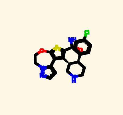 NC(=O)c1sc2c(c1[C@H]1CNCC[C@@H]1c1ccc(Cl)cc1)-c1ccnn1CCO2